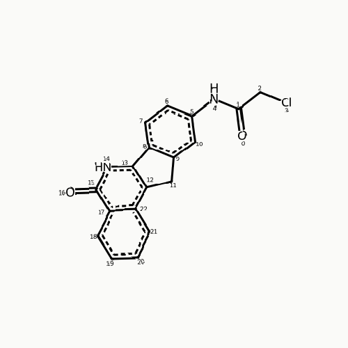 O=C(CCl)Nc1ccc2c(c1)Cc1c-2[nH]c(=O)c2ccccc12